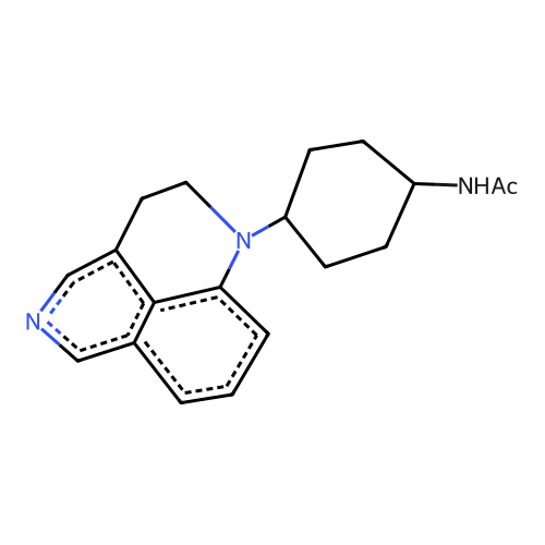 CC(=O)NC1CCC(N2CCc3cncc4cccc2c34)CC1